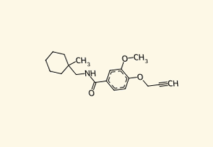 C#CCOc1ccc(C(=O)NCC2(C)CCCCC2)cc1OC